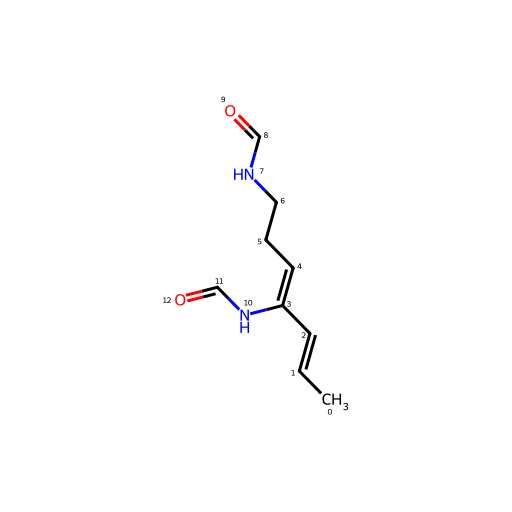 CC=CC(=CCCNC=O)NC=O